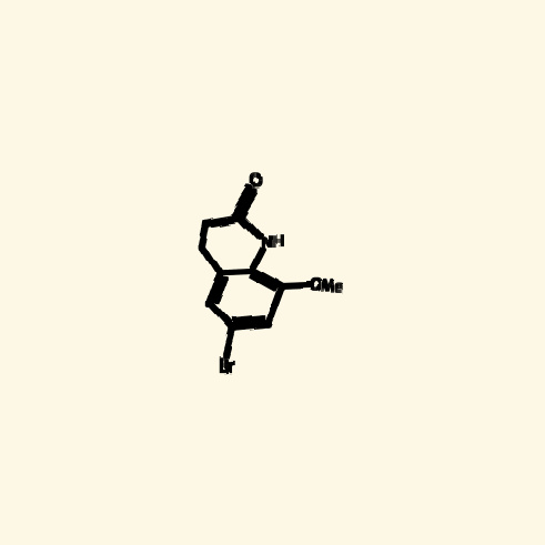 COc1cc(Br)cc2c1NC(=O)CC2